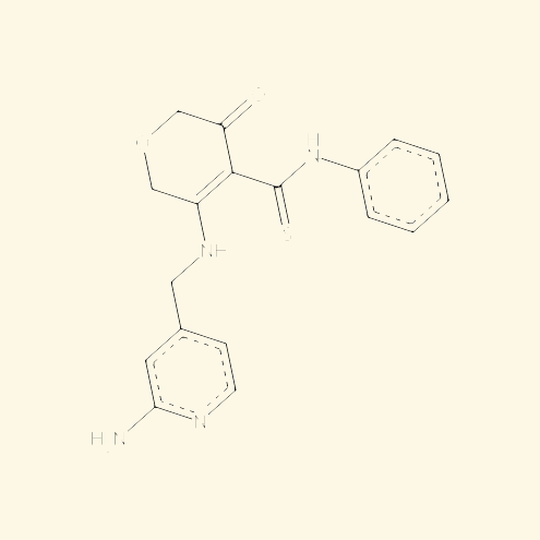 Nc1cc(CNC2=C(C(=S)Nc3ccccc3)C(=O)COC2)ccn1